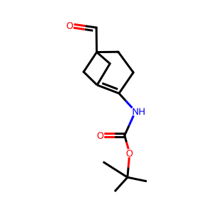 CC(C)(C)OC(=O)NC1=C2CC(C=O)(CC1)C2